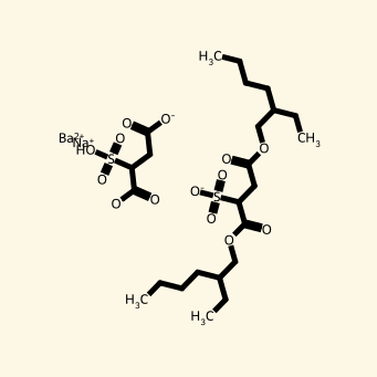 CCCCC(CC)COC(=O)CC(C(=O)OCC(CC)CCCC)S(=O)(=O)[O-].O=C([O-])CC(C(=O)[O-])S(=O)(=O)O.[Ba+2].[Na+]